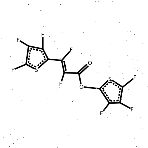 O=C(Oc1sc(F)c(F)c1F)C(F)=C(F)c1sc(F)c(F)c1F